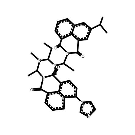 CCC(N(C)C(C)N1C(=O)c2cccc3cc(C(C)C)cc(c23)C1=O)N(C)C(C)N1C(=O)c2cccc3c(-n4ccnc4)ccc(c23)C1=O